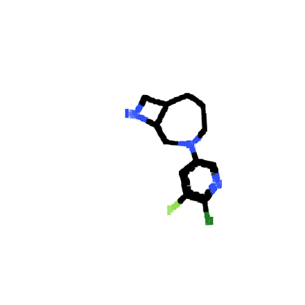 Fc1cc(N2CCCC3CNC3C2)cnc1Cl